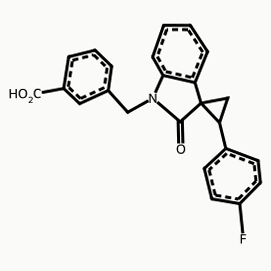 O=C(O)c1cccc(CN2C(=O)C3(CC3c3ccc(F)cc3)c3ccccc32)c1